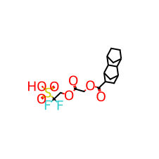 O=C(COC(=O)C1CC2CC1C1C3CCC(C3)C21)OCC(F)(F)S(=O)(=O)O